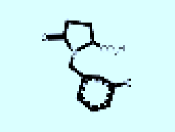 O=C(O)C1CCC(=O)N1Cc1cccc(Cl)c1